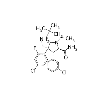 CCN1[C@@H](CC(C)(C)C)[C@](CN)(c2ccc(Cl)cc2F)[C@@H](c2cccc(Cl)c2)[C@@H]1C(N)=O